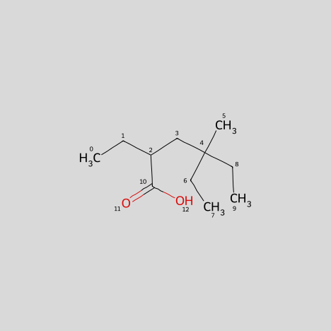 CCC(CC(C)(CC)CC)C(=O)O